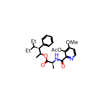 CCC(CC)[C@@H](c1ccccc1)C(C)OC(=O)[C@H](C)NC(=O)c1nccc(OC)c1OC(C)=O